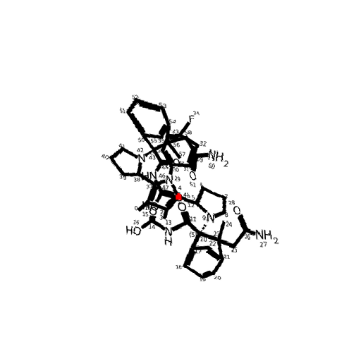 Cc1c(C)c(C2CCCN2[C@@]2(C(=O)NC(=O)O)c3cccc(c3)C2(C)CC(N)=O)n(-c2ccc(F)cc2)c1C1CCCN1[C@@]1(C(=O)NC(=O)O)c2cccc(c2)C1(C)CC(N)=O